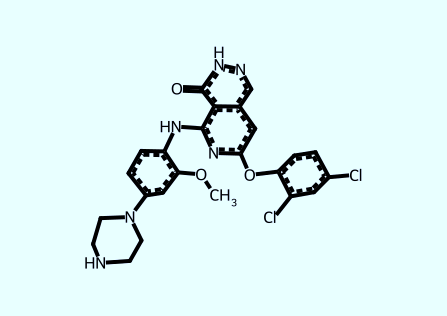 COc1cc(N2CCNCC2)ccc1Nc1nc(Oc2ccc(Cl)cc2Cl)cc2cn[nH]c(=O)c12